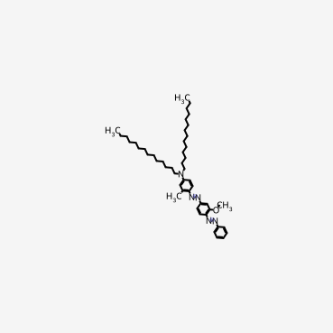 CCCCCCCCCCCCCCN(CCCCCCCCCCCCCC)c1ccc(/N=N/c2ccc(/N=N/c3ccccc3)c(OC)c2)c(C)c1